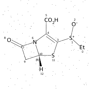 CC[S+]([O-])C1=C(C(=O)O)N2C(=O)C[C@H]2S1